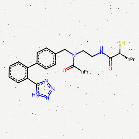 CCCC(=O)N(CCNC(=O)[C@@H](S)CCC)Cc1ccc(-c2ccccc2-c2nnn[nH]2)cc1